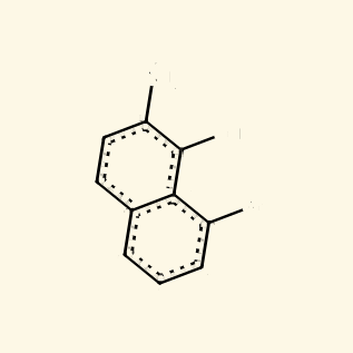 CC(=O)c1cccc2ccc(N)c(O)c12